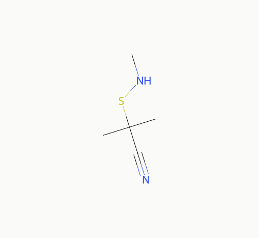 CNSC(C)(C)C#N